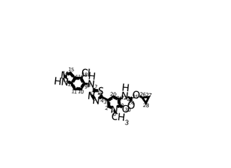 Cn1cc(-c2nnc(Nc3ccc4[nH]ncc4c3Cl)s2)cc(NC(=O)OC2CC2)c1=O